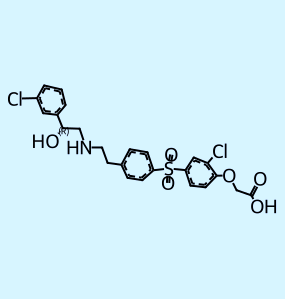 O=C(O)COc1ccc(S(=O)(=O)c2ccc(CCNC[C@H](O)c3cccc(Cl)c3)cc2)cc1Cl